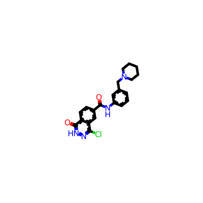 O=C(Nc1cccc(CN2CCCCC2)c1)c1ccc2c(=O)[nH]nc(Cl)c2c1